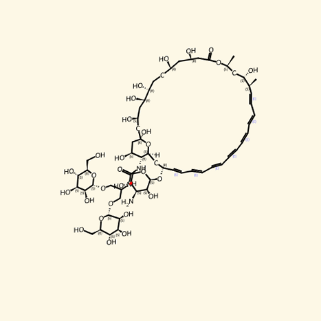 C[C@H]1C[C@H](O)[C@@H](C)/C=C/C=C/C=C/C=C/C=C/C=C/C=C/[C@H](O[C@@H]2OC[C@@H](O)[C@H](N)[C@@H]2O)C[C@@H]2O[C@](O)(C[C@@H](O)C[C@@H](O)[C@H](O)CC[C@@H](O)C[C@@H](O)CC(=O)O1)C[C@H](O)[C@H]2NC(=O)NC(CO[C@H]1O[C@H](CO)[C@@H](O)[C@H](O)[C@@H]1O)CO[C@H]1O[C@H](CO)[C@@H](O)[C@H](O)[C@@H]1O